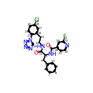 O=C(NC(Cc1ccccc1)C(=O)NCCc1cc(Cl)ccc1-n1cnnn1)c1ccnc(F)c1